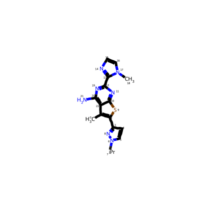 Cc1c(-c2ccn(C(C)C)n2)sc2nc(-c3nccn3C)nc(N)c12